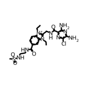 CCn1c(CNC(=O)c2nc(Cl)c(N)nc2N)[n+](CC)c2ccc(C(=O)NCCNS(C)(=O)=O)cc21